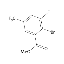 COC(=O)c1cc(C(F)(F)F)cc(F)c1Br